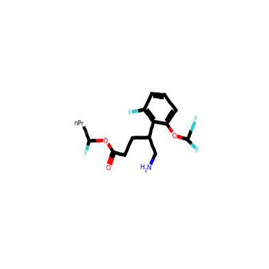 CCCC(F)OC(=O)CCC(CN)c1c(F)cccc1OC(F)F